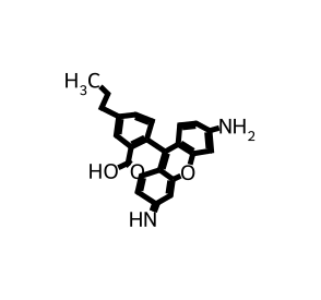 CCCc1ccc(-c2c3ccc(=N)cc-3oc3cc(N)ccc23)c(C(=O)O)c1